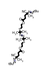 CC(C)(C)/N=N/C(C)(C#N)CCC(=O)OCCSC(C)(C)/N=N/C(C)(C)SCCOC(=O)CCC(C)(C#N)/N=N/C(C)(C)C